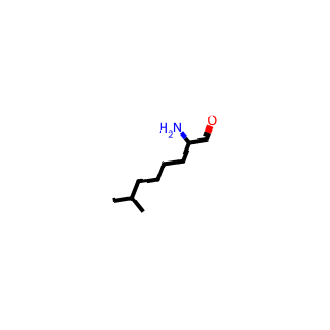 CC(C)CCCCC(N)C=O